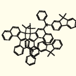 CC(C)C1(C2(C(C)(C)C)c3ccc4ccccc4c3-c3c2cc(N(c2ccccc2)c2ccc4c(c2)C(C)(C)c2ccccc2-4)c2ccccc32)c2ccc3ccccc3c2-c2c1cc(N(c1ccccc1)c1ccc3c(c1)C(C)(C)c1ccccc1-3)c1ccccc21